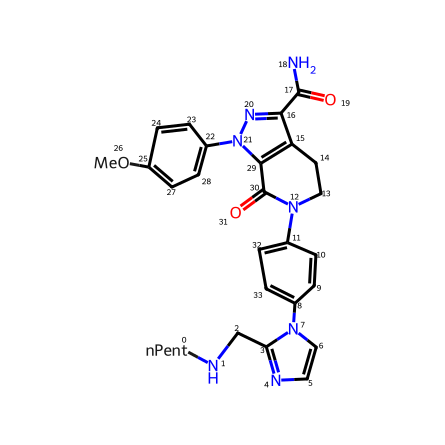 CCCCCNCc1nccn1-c1ccc(N2CCc3c(C(N)=O)nn(-c4ccc(OC)cc4)c3C2=O)cc1